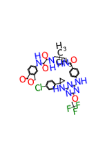 CC(C)(CNC(=O)C(=O)Nc1ccc2c(c1)COC2=O)CNC(=O)c1ccc(Nc2nc(NC3(c4ccc(Cl)cc4)CC3)nc(OCC(F)(F)F)n2)cc1